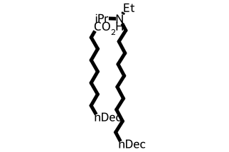 CCCCCCCCCCCCCCCCCC(=O)O.CCCCCCCCCCCCCCCCCCCCN(CC)C(C)C